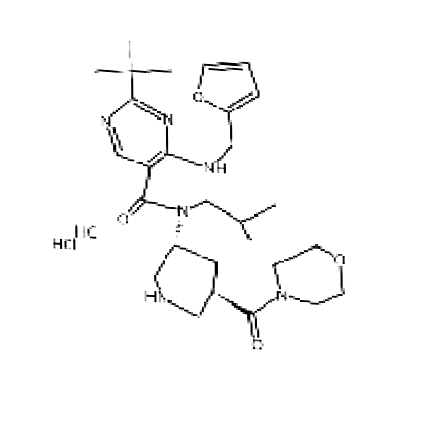 CC(C)CN(C(=O)c1cnc(C(C)(C)C)nc1NCc1ccco1)[C@H]1CNC[C@H](C(=O)N2CCOCC2)C1.Cl.Cl